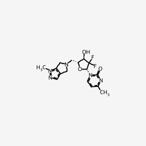 Cc1ccn([C@@H]2O[C@H](CN3Cc4cnn(C)c4C3)[C@@H](O)C2(F)F)c(=O)n1